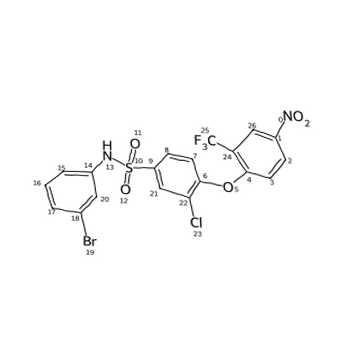 O=[N+]([O-])c1ccc(Oc2ccc(S(=O)(=O)Nc3cccc(Br)c3)cc2Cl)c(C(F)(F)F)c1